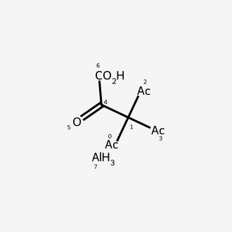 CC(=O)C(C(C)=O)(C(C)=O)C(=O)C(=O)O.[AlH3]